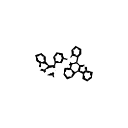 CC12c3ccccc3-c3c(sc4ccccc34)C1c1ccccc1N2c1cccc(-c2nc(Cl)nc3sc4ccccc4c23)c1